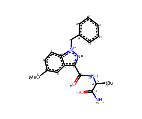 COc1ccc2c(c1)c(C(=O)N[C@H](C(N)=O)C(C)(C)C)nn2Cc1ccccc1